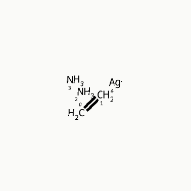 C=C.N.N.[Ag]